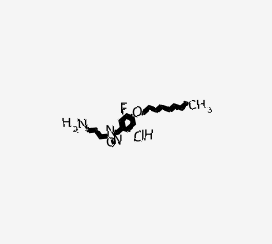 CCCCCCCCCOc1ccc(-c2noc(CCCN)n2)cc1F.Cl